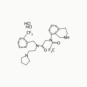 Cl.Cl.O=C(CN(C(=O)C(F)(F)F)c1cccc2c1CNCC2)N(CCN1CCCC1)Cc1ccccc1C(F)(F)F